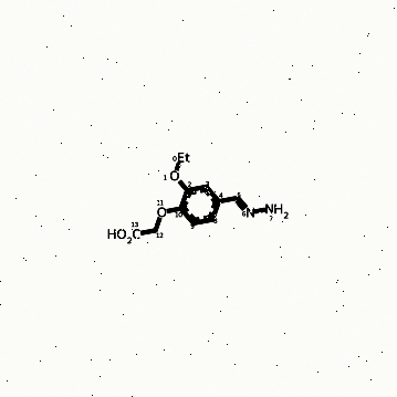 CCOc1cc(/C=N/N)ccc1OCC(=O)O